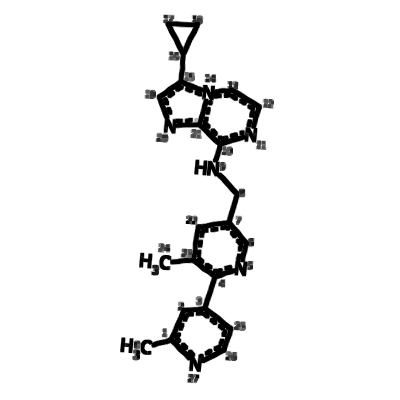 Cc1cc(-c2ncc(CNc3nccn4c(C5CC5)cnc34)cc2C)ccn1